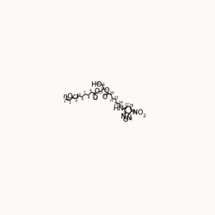 CCCCCCCC/C=C\CCCCCCCC(=O)OCC(CO)OC(=O)CCCCCNc1ccc([N+](=O)[O-])c2nonc12